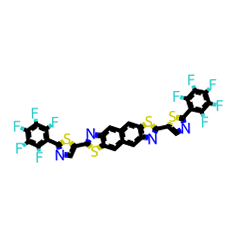 Fc1c(F)c(F)c(-c2ncc(-c3nc4cc5cc6sc(-c7cnc(-c8c(F)c(F)c(F)c(F)c8F)s7)nc6cc5cc4s3)s2)c(F)c1F